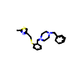 Cc1nc(CSc2ccccc2CN2CCN(Cc3ccccc3)CC2)cs1